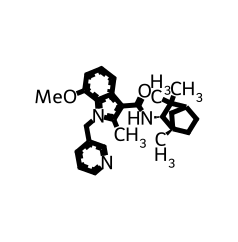 COc1cccc2c(C(=O)N[C@@H]3C(C)(C)C4CC[C@@]3(C)C4)c(C)n(Cc3cccnc3)c12